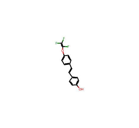 Oc1ccc(/C=C/c2ccc(OC(F)=C(F)F)cc2)cc1